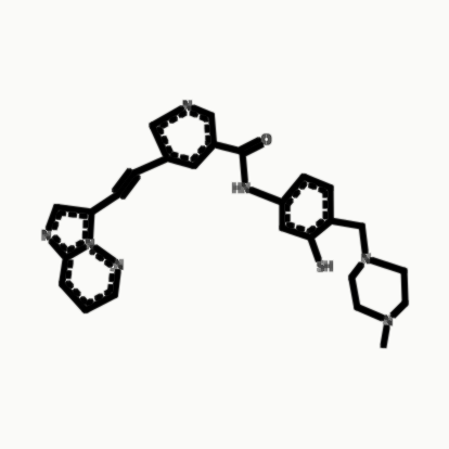 CN1CCN(Cc2ccc(NC(=O)c3cncc(C#Cc4cnc5cccnn45)c3)cc2S)CC1